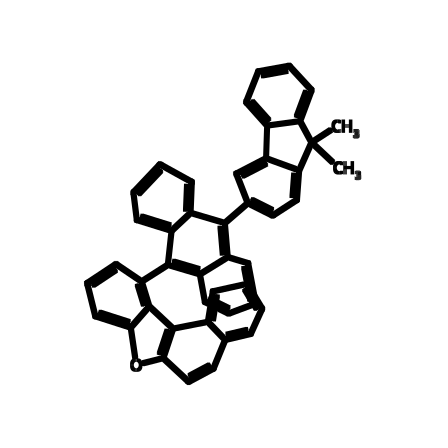 CC1(C)c2ccccc2-c2cc(-c3c4ccccc4c(-c4cccc5oc6ccc7ccccc7c6c45)c4ccccc34)ccc21